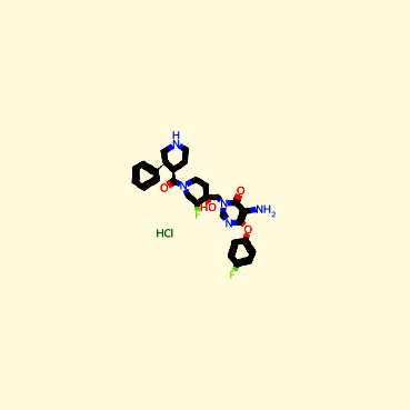 Cl.Nc1c(Oc2ccc(F)cc2)ncn(CC2(O)CCN(C(=O)[C@@H]3CCNC[C@H]3c3ccccc3)CC2F)c1=O